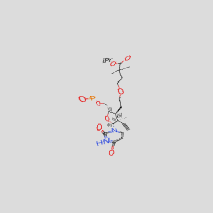 C#C[C@]1(C)[C@H](CCOCCC(C)(C)C(=O)OC(C)C)[C@@H](COP=O)O[C@H]1n1ccc(=O)[nH]c1=O